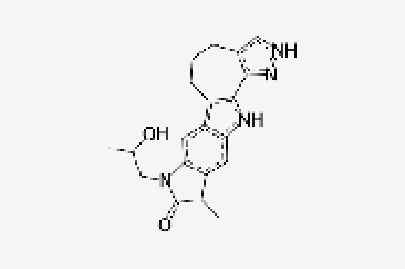 CC(O)CN1C(=O)C(C)c2cc3[nH]c4c(c3cc21)CCCc1c[nH]nc1-4